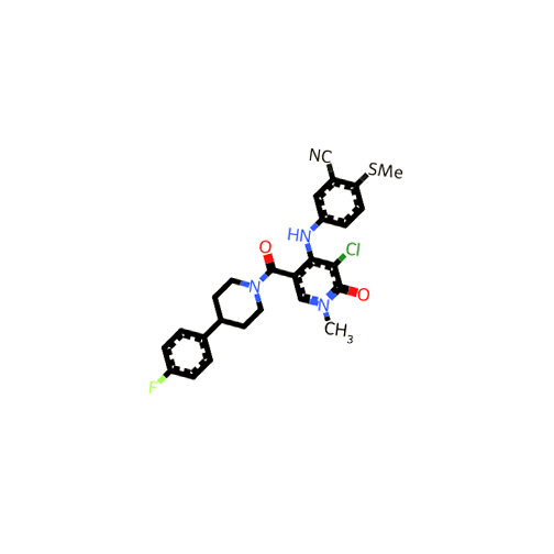 CSc1ccc(Nc2c(C(=O)N3CCC(c4ccc(F)cc4)CC3)cn(C)c(=O)c2Cl)cc1C#N